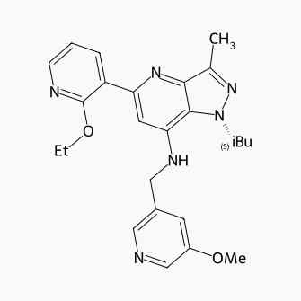 CCOc1ncccc1-c1cc(NCc2cncc(OC)c2)c2c(n1)c(C)nn2[C@@H](C)CC